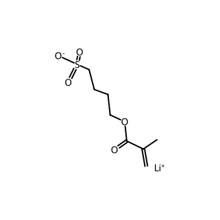 C=C(C)C(=O)OCCCCS(=O)(=O)[O-].[Li+]